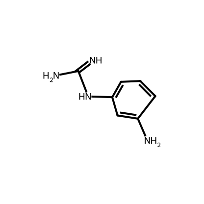 N=C(N)Nc1cccc(N)c1